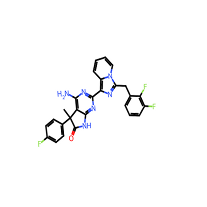 CC1(c2ccc(F)cc2)C(=O)Nc2nc(-c3nc(Cc4cccc(F)c4F)n4ccccc34)nc(N)c21